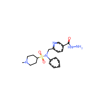 CN1CCC(S(=O)(=O)N(Cc2ccc(C(=O)NN)cn2)c2ccccc2)CC1